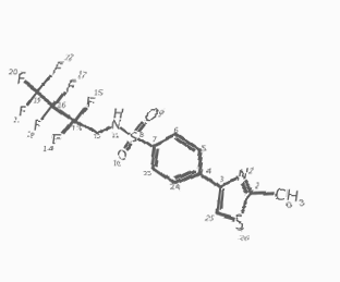 Cc1nc(-c2ccc(S(=O)(=O)NCC(F)(F)C(F)(F)C(F)(F)F)cc2)cs1